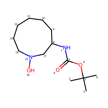 CC(C)(C)OC(=O)NC1CCCCCCN(O)C1